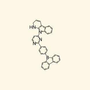 C1=Cc2c(n(-c3ccnc(-c4ccc(B5c6ccccc6-c6ccccc65)cc4)n3)c3ccccc23)NC1